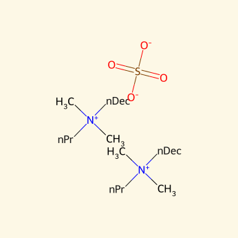 CCCCCCCCCC[N+](C)(C)CCC.CCCCCCCCCC[N+](C)(C)CCC.O=S(=O)([O-])[O-]